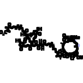 COc1cc2cc(c1Cl)N(C)C(=O)C[C@H](OC(=O)[C@H](C)N(C)C(=O)CCSSC(C)(C)CCC(=O)NNC(=O)CCN(C(=O)CCN1C(=O)CC(S)C1=O)N(CCC(=O)NNC(=O)CCC(C)(C)SSCCC(=O)N(C)[C@@H](C)C(=O)O)C(=O)CCN1C(=O)CC(S)C1=O)[C@H](C)C[C@H](C)C1C[C@@](O)(NC(=O)O1)[C@H](OC)/C=C/C=C(\C)C2